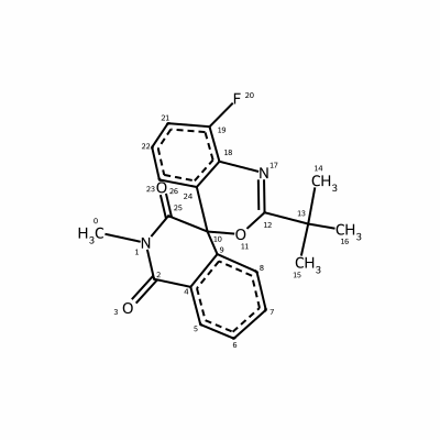 CN1C(=O)c2ccccc2C2(OC(C(C)(C)C)=Nc3c(F)cccc32)C1=O